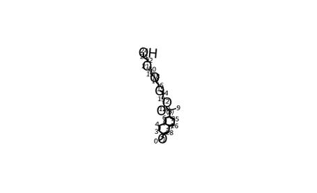 COc1ccc2cc([C@H](C)C(=O)OCCOCCOCCOCCO)ccc2c1